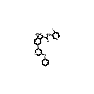 O=C(Nc1cnccc1F)c1n[nH]c2ccc(-c3cncc(Oc4ccccc4)c3)cc12